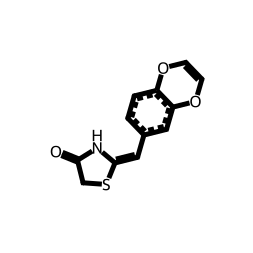 O=C1CSC(=Cc2ccc3c(c2)OC=CO3)N1